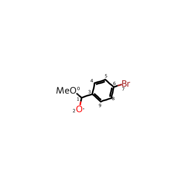 COC([O])c1ccc(Br)cc1